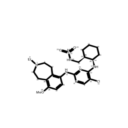 CCN1CCc2c(Nc3ncc(Cl)c(N[C@@H]4CCCC[C@@H]4CN[SH](=O)=O)n3)ccc(OC)c2CC1